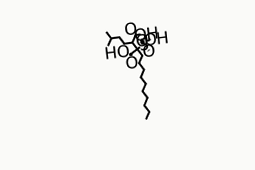 CCCCCCCCCCC(C(=O)O)(C(CCC(C)C)C(=O)O)S(=O)(=O)O